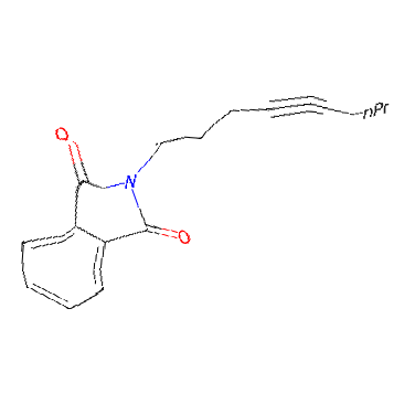 CCCC#CCC[CH]N1C(=O)c2ccccc2C1=O